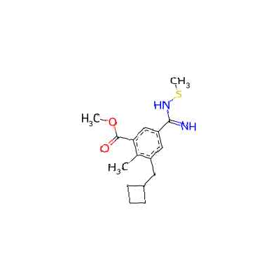 COC(=O)c1cc(C(=N)NSC)cc(CC2CCC2)c1C